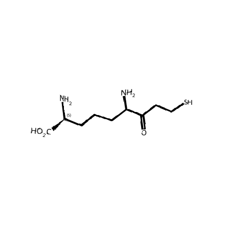 NC(CCC[C@H](N)C(=O)O)C(=O)CCS